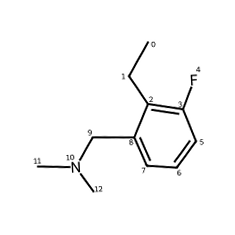 CCc1c(F)cccc1CN(C)C